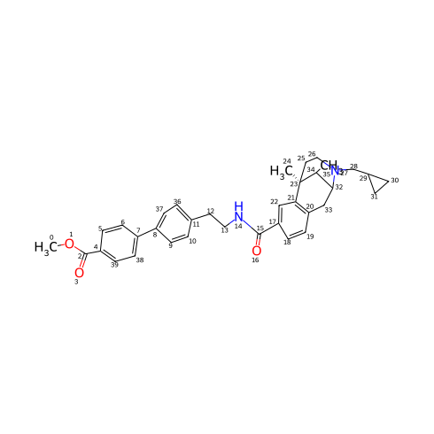 COC(=O)c1ccc(-c2ccc(CCNC(=O)c3ccc4c(c3)[C@@]3(C)CCN(CC5CC5)C(C4)C3C)cc2)cc1